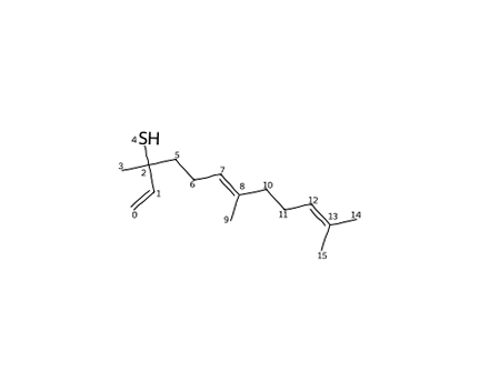 C=CC(C)(S)CC/C=C(\C)CCC=C(C)C